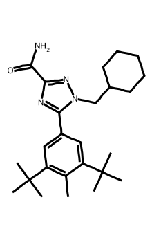 Cc1c(C(C)(C)C)cc(-c2nc(C(N)=O)nn2CC2CCCCC2)cc1C(C)(C)C